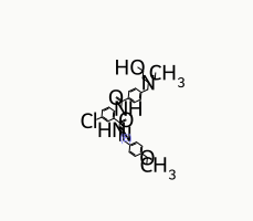 CCN(CCO)Cc1ccc(C(=O)Nc2ccc(Cl)cc2C(=O)N/N=C/c2ccc(OC)cc2)cc1